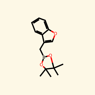 CC1(C)OB(Cc2coc3ccccc23)OC1(C)C